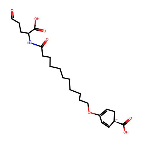 O=CCCC(NC(=O)CCCCCCCCCCOC1=CC[C@@H](C(=O)O)C=C1)C(=O)O